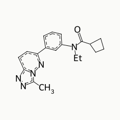 CCN(C(=O)C1CCC1)c1cccc(-c2ccc3nnc(C)n3n2)c1